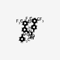 Cc1noc([C@@H](Cc2ccc(-c3cc(C(F)(F)F)cc(C(F)(F)F)c3)cc2)NC(=O)c2cc(-c3cc(C(F)(F)F)cc(C(F)(F)F)c3)ccc2OCc2ccccc2)n1